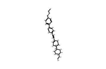 CCCCc1ccc(-c2ccc(C#CC3=CCC(C4CCC(CC)CC4)CC3)cc2)cc1